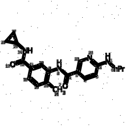 CCCNc1ccc(C(=O)Nc2cc(C(=O)NC3CC3)ccc2C)cn1